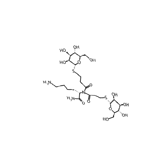 NCCCC[C@@H](C(N)=O)N(C(=O)CCS[C@H]1O[C@H](CO)[C@@H](O)[C@H](O)[C@@H]1O)C(=O)CCS[C@H]1O[C@H](CO)[C@@H](O)[C@H](O)[C@@H]1O